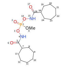 COP(=O)(ONC(=O)C1CCCCCC1)ONC(=O)C1CCCCCC1